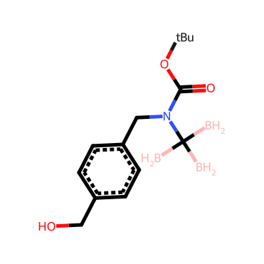 BC(B)(B)N(Cc1ccc(CO)cc1)C(=O)OC(C)(C)C